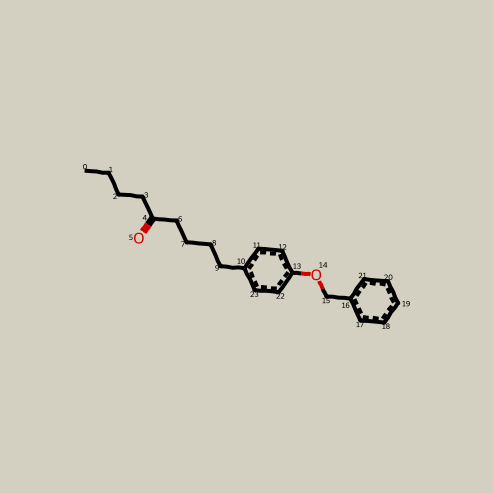 CCCCC(=O)CCCCc1ccc(OCc2ccccc2)cc1